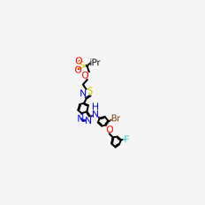 CC(C)C(COCCc1nc(-c2ccc3ncnc(Nc4ccc(OCc5cccc(F)c5)c(Br)c4)c3c2)cs1)=S(=O)=O